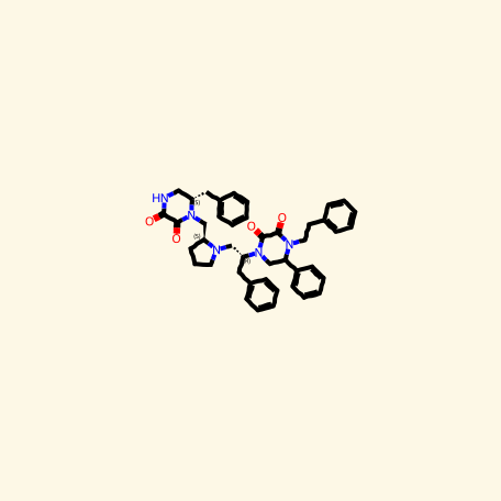 O=C1NC[C@H](Cc2ccccc2)N(C[C@@H]2CCCN2C[C@@H](Cc2ccccc2)N2CC(c3ccccc3)N(CCc3ccccc3)C(=O)C2=O)C1=O